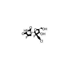 O=c1[nH]c(=O)n([C@@H]2O[C@H](CO)[C@H](O)C2(F)C#CCl)cc1F